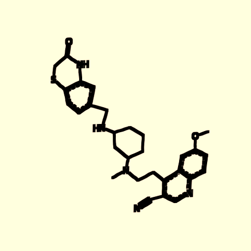 COc1ccc2ncc(C#N)c(CCN(C)C3CCCC(NCc4ccc5c(c4)NC(=O)CS5)C3)c2c1